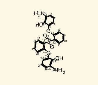 Nc1cccc(Oc2ccccc2S(=O)(=O)c2ccccc2Oc2cccc(N)c2O)c1O